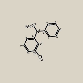 CNN(c1ccccc1)c1cccc(Cl)c1